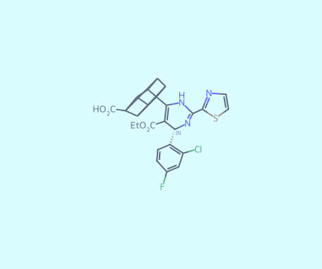 CCOC(=O)C1=C(C23C4C5C2C2C3C4C52C(=O)O)NC(c2nccs2)=N[C@@H]1c1ccc(F)cc1Cl